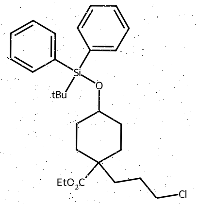 CCOC(=O)C1(CCCCl)CCC(O[Si](c2ccccc2)(c2ccccc2)C(C)(C)C)CC1